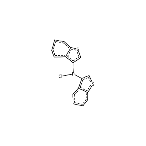 ClP(c1csc2ccccc12)c1csc2ccccc12